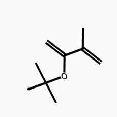 C=C(C)C(=C)OC(C)(C)C